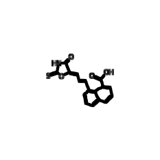 O=C1NC(=S)OC1=CC=Cc1cccc2cccc(C(=O)O)c12